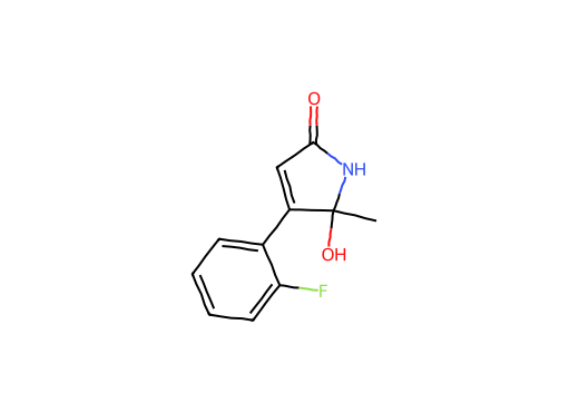 CC1(O)NC(=O)C=C1c1ccccc1F